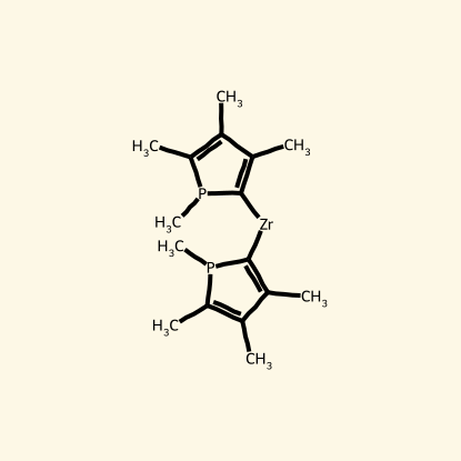 Cc1c(C)[c]([Zr][c]2c(C)c(C)c(C)p2C)p(C)c1C